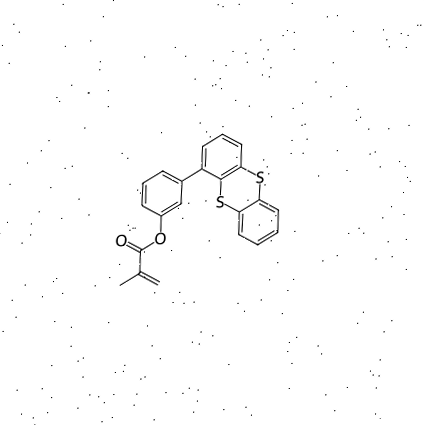 C=C(C)C(=O)Oc1cccc(-c2cccc3c2Sc2ccccc2S3)c1